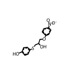 O=[N+]([O-])c1ccc(OCC(O)CSc2ccc(O)cc2)cc1